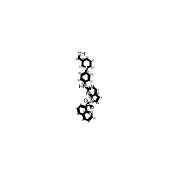 O=S(=O)(c1cccc2cccnc12)n1ccc2cnc(Nc3ccc(N4CCCC(CO)C4)cc3)nc21